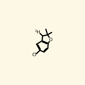 [2H]C1c2cc(Cl)ccc2OC1(C)C